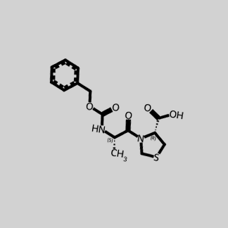 C[C@H](NC(=O)OCc1ccccc1)C(=O)N1CSC[C@H]1C(=O)O